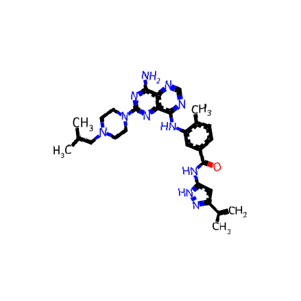 C=C(C)c1cc(NC(=O)c2ccc(C)c(Nc3ncnc4c(N)nc(N5CCN(CC(C)C)CC5)nc34)c2)[nH]n1